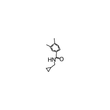 Cc1ccc(C(=O)NCC2CC2)cc1C